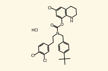 CC(C)(C)c1ccc(CN(CCc2ccc(Cl)c(Cl)c2)C(=O)Oc2cc(Cl)cc3c2NCCC3)cc1.Cl